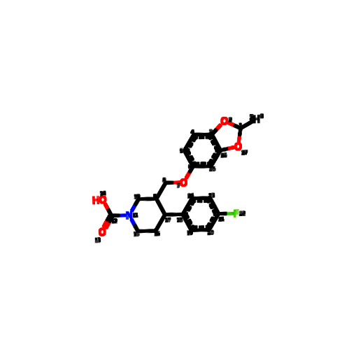 [2H]C1Oc2ccc(OCC3CN(C(=O)O)CCC3c3ccc(F)cc3)cc2O1